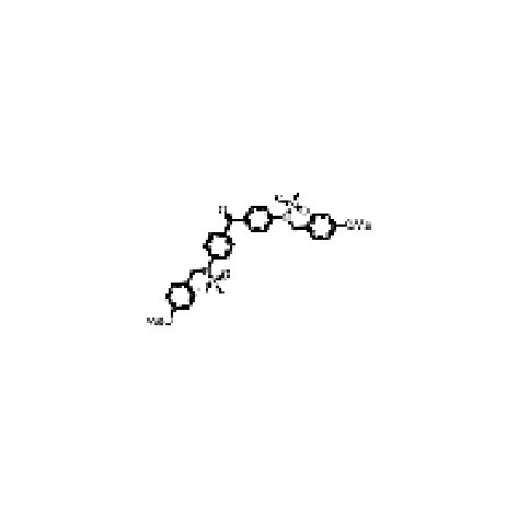 COc1ccc(CN(c2ccc(C(=O)c3ccc(N(Cc4ccc(OC)cc4)S(C)(=O)=O)cc3)cc2)S(C)(=O)=O)cc1